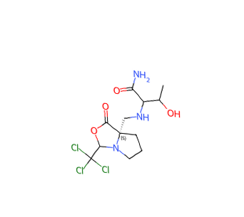 CC(O)C(NC[C@]12CCCN1C(C(Cl)(Cl)Cl)OC2=O)C(N)=O